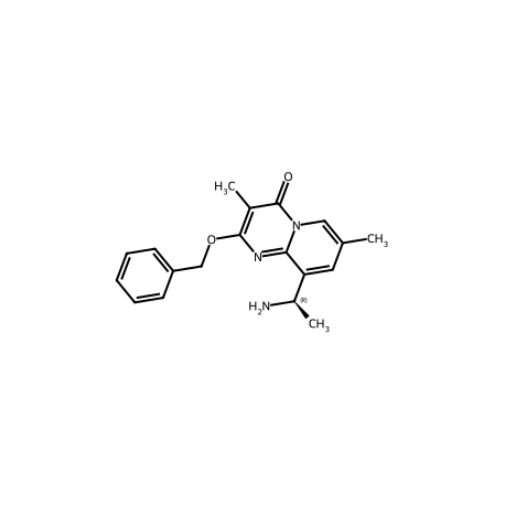 Cc1cc([C@@H](C)N)c2nc(OCc3ccccc3)c(C)c(=O)n2c1